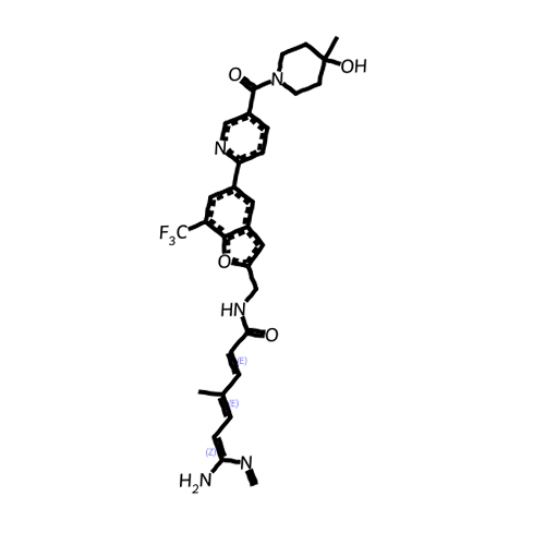 C=N\C(N)=C/C=C(C)/C=C/C(=O)NCc1cc2cc(-c3ccc(C(=O)N4CCC(C)(O)CC4)cn3)cc(C(F)(F)F)c2o1